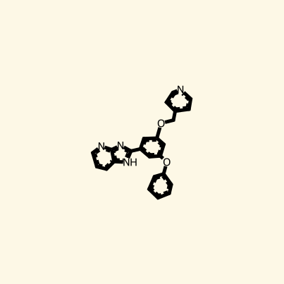 c1ccc(Oc2cc(OCc3ccncc3)cc(-c3nc4ncccc4[nH]3)c2)cc1